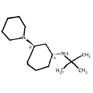 CC(C)(C)N[C@@H]1CCC[C@@H](N2CCCCC2)C1